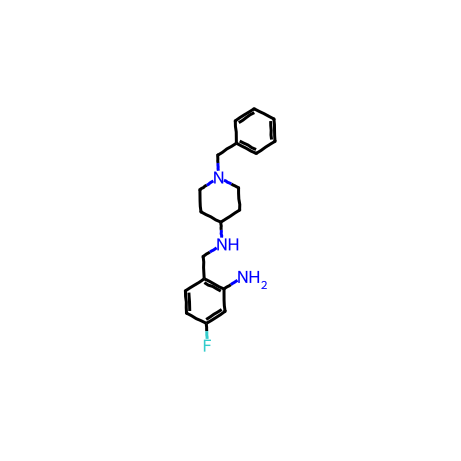 Nc1cc(F)ccc1CNC1CCN(Cc2ccccc2)CC1